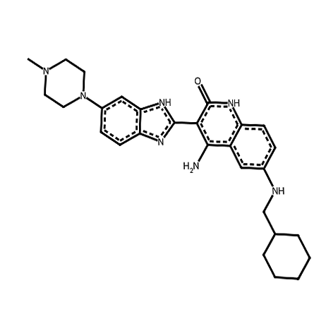 CN1CCN(c2ccc3nc(-c4c(N)c5cc(NCC6CCCCC6)ccc5[nH]c4=O)[nH]c3c2)CC1